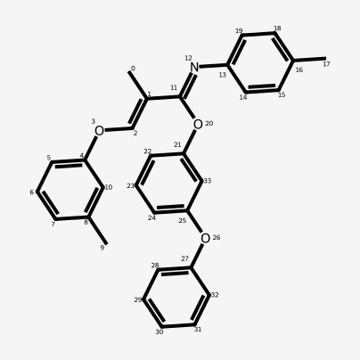 CC(=C\Oc1cccc(C)c1)/C(=N/c1ccc(C)cc1)Oc1cccc(Oc2ccccc2)c1